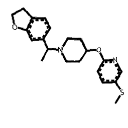 CSc1ccc(OC2CCN(C(C)c3ccc4c(c3)OCC4)CC2)nc1